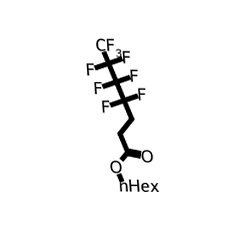 CCCCCCOC(=O)CCC(F)(F)C(F)(F)C(F)(F)C(F)(F)F